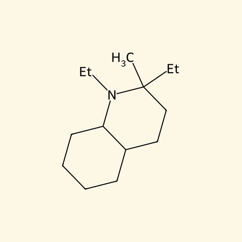 CCN1C2CCCCC2CCC1(C)CC